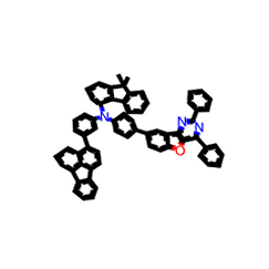 CC1(C)c2ccccc2-c2c(N(c3ccc(-c4ccc5oc6c(-c7ccccc7)nc(-c7ccccc7)nc6c5c4)cc3)c3cccc(-c4ccc5c6c(cccc46)-c4ccccc4-5)c3)cccc21